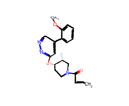 C=CC(=O)N1CC[C@H](Oc2cc(-c3ccccc3OC)cnn2)[C@H](F)C1